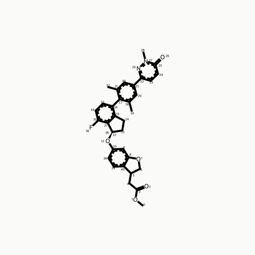 COC(=O)CC1COc2cc(O[C@@H]3CCc4c(-c5c(C)cc(-c6ccc(=O)n(C)n6)cc5C)ccc(F)c43)ccc21